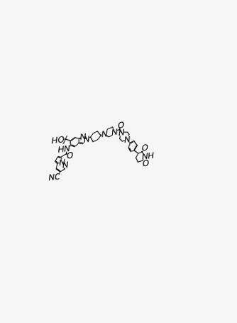 CC(C)(O)c1cc2nn(C3CCC(N4CCN(C(=O)N5CCN(c6ccc(C7CCC(=O)NC7=O)cc6)CC5)CC4)CC3)cc2cc1NC(=O)c1ccc2cc(C#N)cnn12